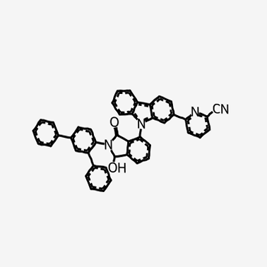 N#Cc1cccc(-c2ccc3c4ccccc4n(-c4cccc5c4C(=O)N(c4ccc(-c6ccccc6)cc4-c4ccccc4)C5O)c3c2)n1